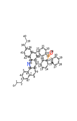 CCCc1ccc2c(ccc3c(-c4cccc(P(=O)(c5ccccc5)c5ccccc5)c4)c4ccc5cc(CCC)ccc5c4nc32)c1